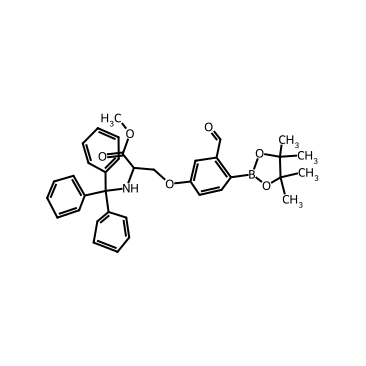 COC(=O)C(COc1ccc(B2OC(C)(C)C(C)(C)O2)c(C=O)c1)NC(c1ccccc1)(c1ccccc1)c1ccccc1